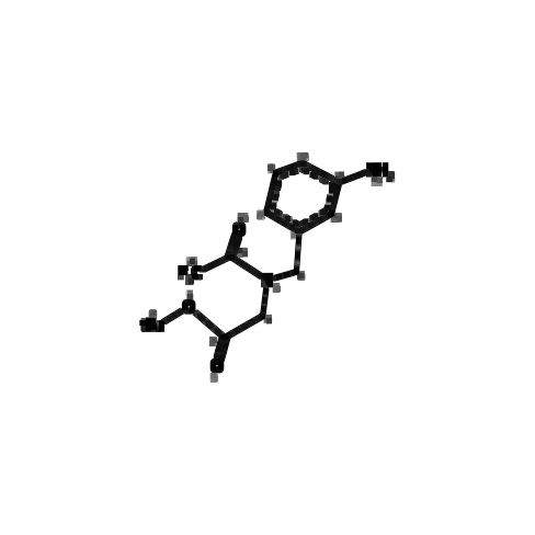 CC(C)(C)OC(=O)CN(Cc1cccc(N)c1)C(=O)C(F)(F)F